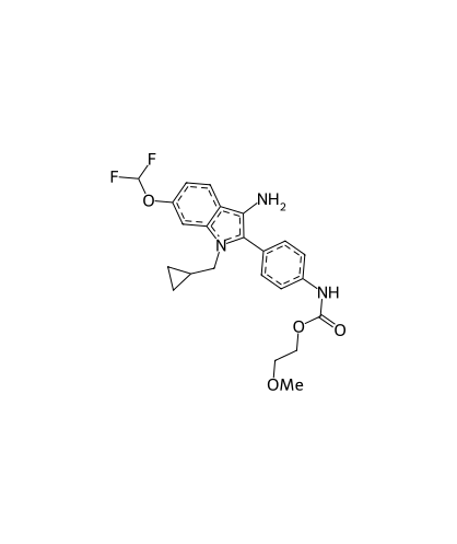 COCCOC(=O)Nc1ccc(-c2c(N)c3ccc(OC(F)F)cc3n2CC2CC2)cc1